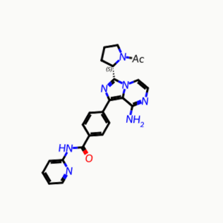 CC(=O)N1CCC[C@H]1c1nc(-c2ccc(C(=O)Nc3ccccn3)cc2)c2c(N)nccn12